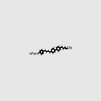 CCCCCc1ccc(CCCCC2CCC(C3CCC(CCC=CC#N)CC3)CC2)cc1